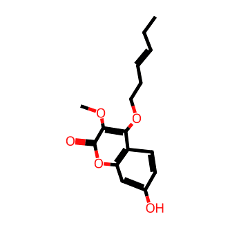 CCC=CCCOc1c(OC)c(=O)oc2cc(O)ccc12